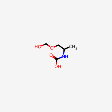 CC(COCO)NC(=O)O